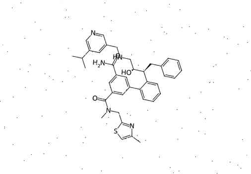 Cc1csc(CN(C)C(=O)c2cc(C(N)=O)cc(-c3ccccc3[C@H](Cc3ccccc3)[C@@H](O)CNCc3cncc(C(C)C)c3)c2)n1